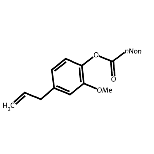 C=CCc1ccc(OC(=O)CCCCCCCCC)c(OC)c1